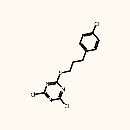 Clc1ccc(CCCSc2nc(Cl)nc(Cl)n2)cc1